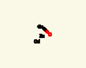 [Gd].[O]=[Sn].[Zn]